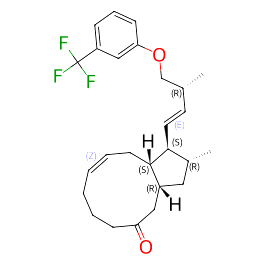 C[C@H](/C=C/[C@@H]1[C@H]2C/C=C\CCCC(=O)C[C@H]2C[C@H]1C)COc1cccc(C(F)(F)F)c1